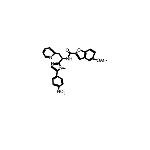 COc1ccc2oc(C(=O)NC(Cc3ccccn3)c3ncc(-c4ccc([N+](=O)[O-])cc4)n3C)cc2c1